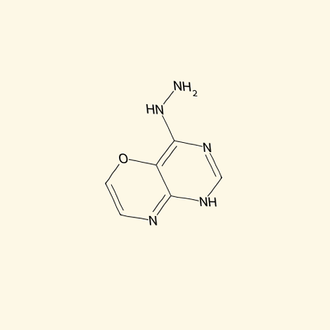 NNC1=C2OC=CN=C2NC=N1